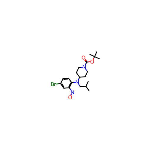 CC(C)CN(c1ccc(Br)cc1N=O)C1CCN(C(=O)OC(C)(C)C)CC1